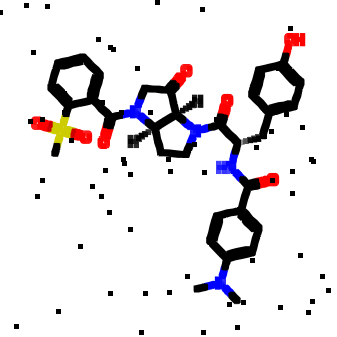 CN(C)c1ccc(C(=O)N[C@@H](Cc2ccc(O)cc2)C(=O)N2CC[C@@H]3[C@H]2C(=O)CN3C(=O)c2ccccc2S(C)(=O)=O)cc1